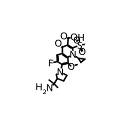 COc1c(N2CCC(C(C)(C)N)C2)c(F)cc2c(=O)c(C(=O)O)c(S(C)(=O)=O)n(C3CC3)c12